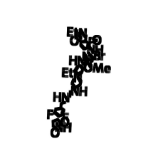 CCc1cc(Nc2ncc(Br)c(Nc3ccc4c(=O)n(CC)ncc4c3P(C)(C)=O)n2)c(OC)cc1N1CCC(NCCNCCc2cc(F)c([C@H]3CCC(=O)NC3=O)c(F)c2)CC1